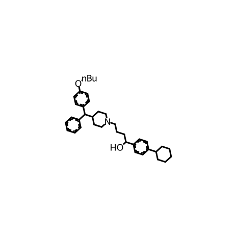 CCCCOc1ccc(C(c2ccccc2)C2CCN(CCCC(O)c3ccc(C4CCCCC4)cc3)CC2)cc1